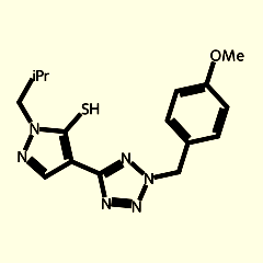 COc1ccc(Cn2nnc(-c3cnn(CC(C)C)c3S)n2)cc1